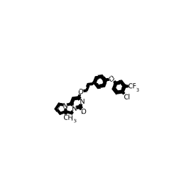 CC12CCCN1c1cc(OCCc3ccc(Oc4ccc(Cl)c(C(F)(F)F)c4)cc3)nc(=O)n1C2